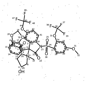 CNC(=O)[C@@H]1C[C@@H](O)C[N+]1(C)C1(c2cccc3c2OCO3)C(=O)N(S(=O)(=O)c2ccc(OC)cc2OC(F)(F)F)c2ccc(OC(F)(F)F)cc21